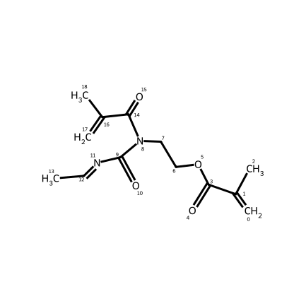 C=C(C)C(=O)OCCN(C(=O)N=CC)C(=O)C(=C)C